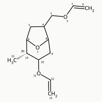 C=COCC1CC2OC1CC(OC=C)[C@@H]2C